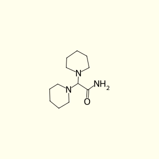 NC(=O)C(N1CCCCC1)N1CCCCC1